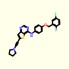 Fc1ccc(F)c(COc2ccc(Nc3ncnc4cc(C#CN5CCCC5)sc34)cc2)c1